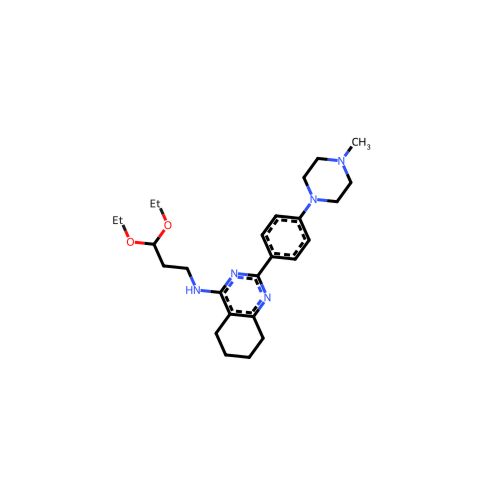 CCOC(CCNc1nc(-c2ccc(N3CCN(C)CC3)cc2)nc2c1CCCC2)OCC